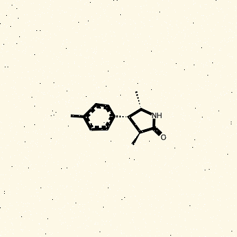 Cc1ccc([C@@H]2[C@H](C)NC(=O)[C@H]2C)cc1